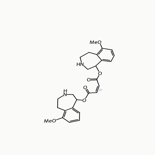 COc1cccc2c1CCNCC2OC(=O)/C=C\C(=O)OC1CNCCc2c(OC)cccc21